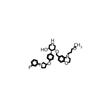 COCCCN1CCOc2ccc(CO[C@H]3CNC[C@@H](O)[C@@H]3c3ccc(OC4CCN(c5cccc(F)c5)C4)cc3)cc21